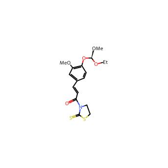 CCO[C@H](OC)Oc1ccc(/C=C/C(=O)N2CCSC2=S)cc1OC